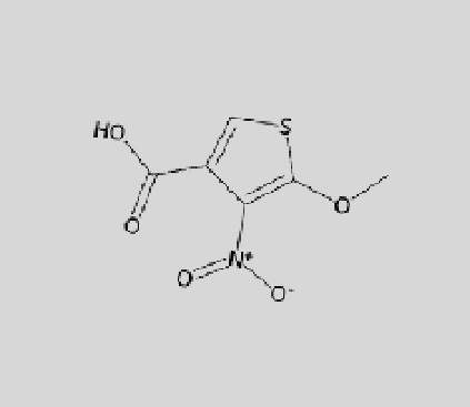 COc1scc(C(=O)O)c1[N+](=O)[O-]